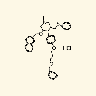 Cl.c1ccc(COCCCOc2ccc(C3C(CSc4ccccc4)CNCC3OCc3ccc4ccccc4c3)cc2)cc1